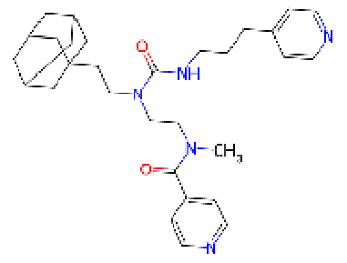 CN(CCN(CCC12CC3CC(CC(C3)C1)C2)C(=O)NCCCc1ccncc1)C(=O)c1ccncc1